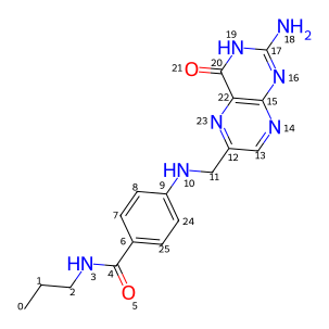 CCCNC(=O)c1ccc(NCc2cnc3nc(N)[nH]c(=O)c3n2)cc1